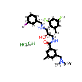 CCCN(CC)Cc1cc(C)cc(C(=O)N[C@@H](Cc2cc(F)cc(F)c2)[C@@H](O)CNCc2cccc(I)c2)c1.Cl.Cl